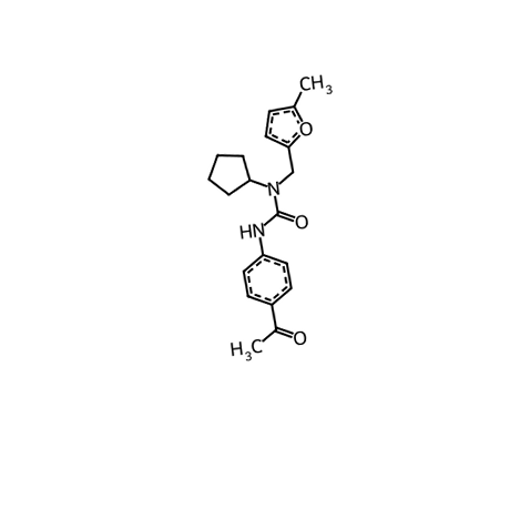 CC(=O)c1ccc(NC(=O)N(Cc2ccc(C)o2)C2CCCC2)cc1